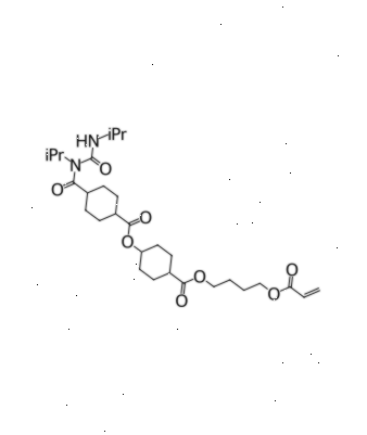 C=CC(=O)OCCCCOC(=O)C1CCC(OC(=O)C2CCC(C(=O)N(C(=O)NC(C)C)C(C)C)CC2)CC1